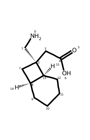 NC[C@@]1(CC(=O)O)C[C@@H]2CCCC[C@@H]21